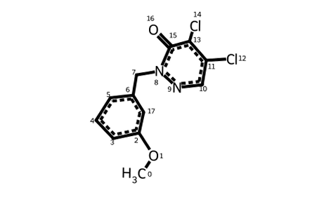 COc1cccc(Cn2ncc(Cl)c(Cl)c2=O)c1